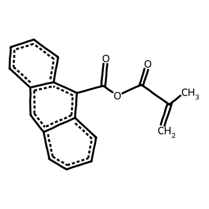 C=C(C)C(=O)OC(=O)c1c2ccccc2cc2ccccc12